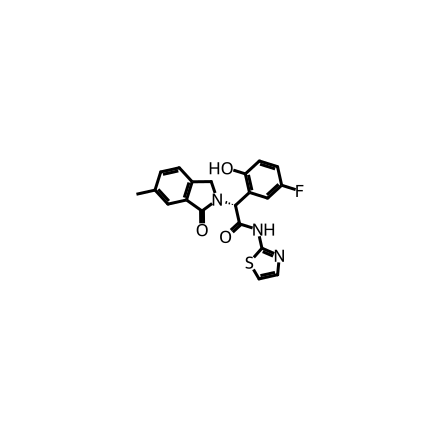 Cc1ccc2c(c1)C(=O)N([C@@H](C(=O)Nc1nccs1)c1cc(F)ccc1O)C2